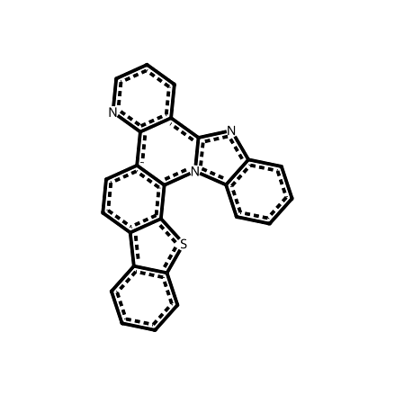 c1ccc2c(c1)nc1c3cccnc3c3ccc4c5ccccc5sc4c3n21